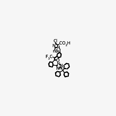 CCCCc1nc(Cl)c(C(=O)O)n1Cc1ccc2oc(-c3ccccc3-c3nnn(C(c4ccccc4)(c4ccccc4)c4ccccc4)n3)c(C(F)(F)F)c2c1